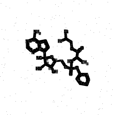 CCC(CC)COC(=O)C(C)NP(=O)(OC[C@H]1O[C@@](C#N)(c2ccc3c(N)ncnn23)[C@H](O)[C@@H]1O)Oc1ccccc1